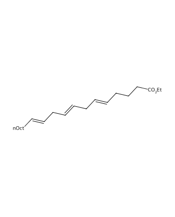 CCCCCCCCC=CCC=CCC=CCCCC(=O)OCC